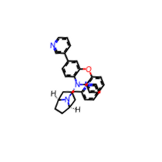 c1ccc(CN2[C@@H]3CC[C@H]2C[C@H](N2c4ccccc4Oc4cc(-c5cccnc5)ccc42)C3)nc1